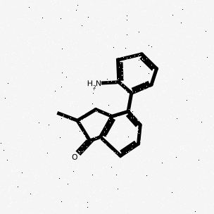 CC1Cc2c(cccc2-c2ccccc2N)C1=O